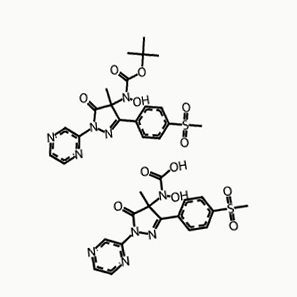 CC(C)(C)OC(=O)N(O)C1(C)C(=O)N(c2cnccn2)N=C1c1ccc(S(C)(=O)=O)cc1.CC1(N(O)C(=O)O)C(=O)N(c2cnccn2)N=C1c1ccc(S(C)(=O)=O)cc1